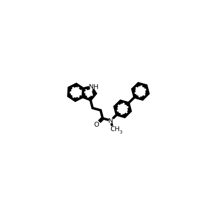 CN(C(=O)CCc1c[nH]c2ccccc12)c1ccc(-c2ccccc2)cc1